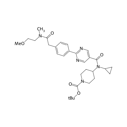 COCCN(C)C(=O)Cc1ccc(-c2ncc(C(=O)N(C3CC3)C3CCN(C(=O)OC(C)(C)C)CC3)cn2)cc1